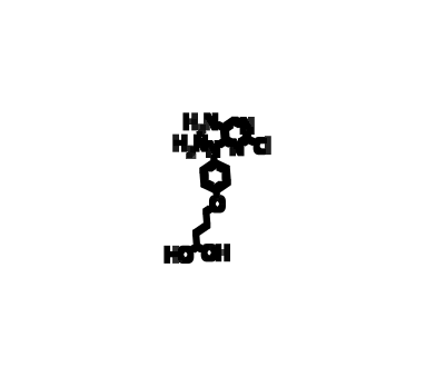 Nc1cnc(Cl)nc1N(N)c1ccc(OCCCC(O)O)cc1